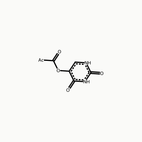 CC(=O)C(=O)Oc1c[nH]c(=O)[nH]c1=O